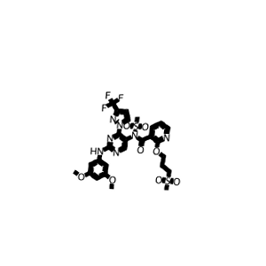 COc1cc(Nc2ncc(N(C(=O)c3cccnc3OCCCS(C)(=O)=O)S(C)(=O)=O)c(-n3ccc(C(F)(F)F)n3)n2)cc(OC)c1